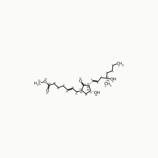 CCCC[C@@](C)(O)CC=C[C@H]1C(=O)[C@H](CC=CCCCC(=O)OC)C[C@H]1O